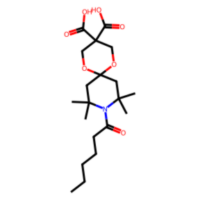 CCCCCC(=O)N1C(C)(C)CC2(CC1(C)C)OCC(C(=O)O)(C(=O)O)CO2